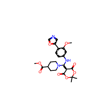 COC(=O)C1CCN(C(Nc2ccc(-c3cnco3)c(OC)c2)=C2C(=O)OC(C)(C)OC2=O)CC1